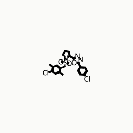 Cc1cc(CS(=O)(=O)N2CCCC2c2nnc(-c3ccc(Cl)cc3)o2)c(C)cc1Cl